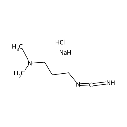 CN(C)CCCN=C=N.Cl.[NaH]